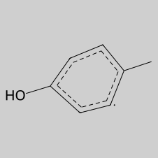 Cc1[c]cc(O)cc1